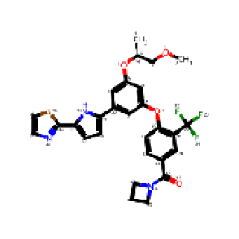 COC[C@H](C)Oc1cc(Oc2ccc(C(=O)N3CCC3)cc2C(F)(F)F)cc(-c2ccc(-c3nccs3)[nH]2)c1